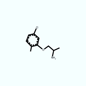 Cc1ccc(Cl)cc1OCC(C)N